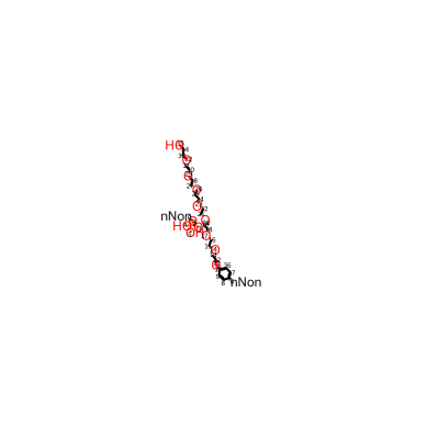 CCCCCCCCCOP(=O)(O)O.CCCCCCCCCc1ccc(OCCOCCOCCOCCOCCOCCOCCOCCO)cc1